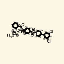 CN(c1ccccc1C(=O)Nc1ccc(S(=O)(=O)N2CC=C(c3cc(Cl)cc(Cl)c3)CC2)cc1)S(C)(=O)=O